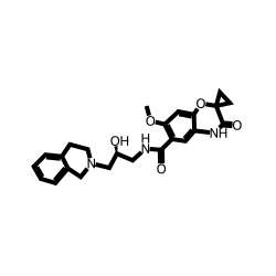 COc1cc2c(cc1C(=O)NC[C@H](O)CN1CCc3ccccc3C1)NC(=O)C1(CC1)O2